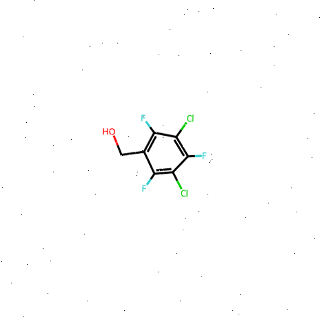 OCc1c(F)c(Cl)c(F)c(Cl)c1F